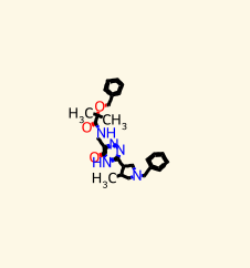 CC1CN(Cc2ccccc2)CC1c1nnc(CNC(=O)C(C)(C)OCc2ccccc2)c(=O)[nH]1